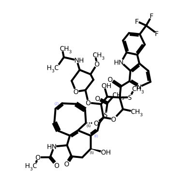 COC(=O)NC1C(=O)C[C@H](O)/C(=C/CSC(C)=O)C2=C1C#C/C=C\C#C[C@@H]2OC1OC(C)C(SC)(C(=O)c2nccc3c2[nH]c2ccc(C(F)(F)F)cc23)C(O)C1OC1CC(OC)C(NC(C)C)CO1